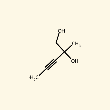 [CH2]C#CC(C)(O)CO